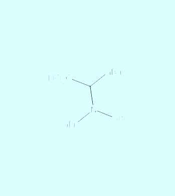 CCCCC(C(=O)O)N(CCC)CCC